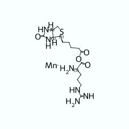 N=C(N)NCCC[C@H](N)C(=O)OC(=O)CCCC[C@@H]1SC[C@@H]2NC(=O)N[C@@H]21.[Mn]